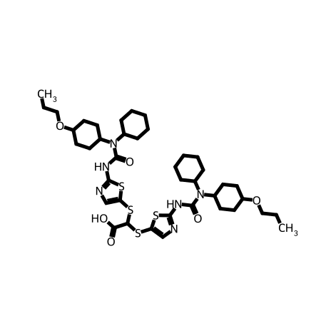 CCCOC1CCC(N(C(=O)Nc2ncc(SC(Sc3cnc(NC(=O)N(C4CCCCC4)C4CCC(OCCC)CC4)s3)C(=O)O)s2)C2CCCCC2)CC1